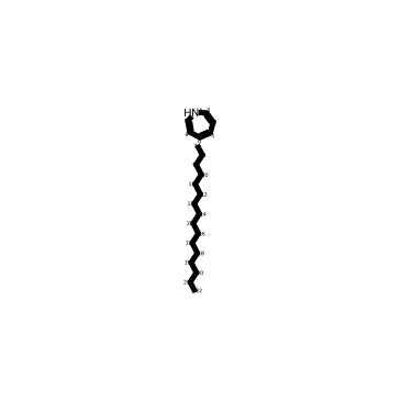 C1=CC=CNC=C1.CCCCCCCCCCCCCCCC